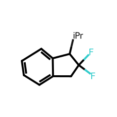 CC(C)C1c2ccccc2CC1(F)F